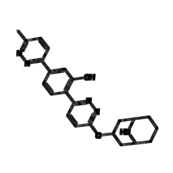 Cc1ccc(-c2ccc(-c3ccc(OC4CC5CCCC(C4)N5)nn3)c(O)c2)nn1